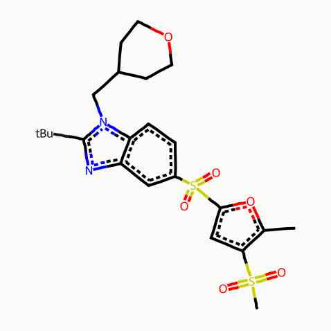 Cc1oc(S(=O)(=O)c2ccc3c(c2)nc(C(C)(C)C)n3CC2CCOCC2)cc1S(C)(=O)=O